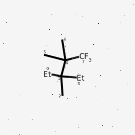 CCC(C)(CC)C(C)(C)C(F)(F)F